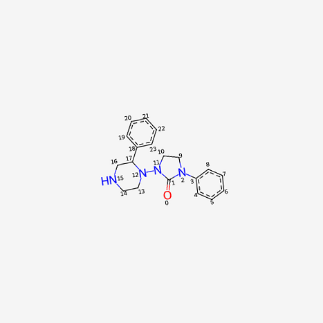 O=C1N(c2ccccc2)CCN1N1CCNCC1c1ccccc1